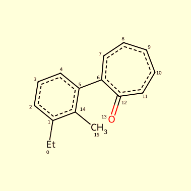 CCc1cccc(-c2cccccc2=O)c1C